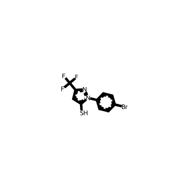 FC(F)(F)c1cc(S)n(-c2ccc(Br)cc2)n1